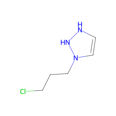 ClCCCN1C=CNN1